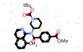 COC(=O)c1ccc(C(=O)N(c2nccc3cccc(C)c23)[C@@H]2CCCN(C(=O)OC(C)(C)C)C2)c(F)c1